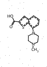 CN1CCN(c2cccc3cc(C(=O)O)sc23)CC1